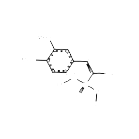 CCOP(=O)(OCC)/C(C#N)=C\c1ccc(OC)c(OC)c1